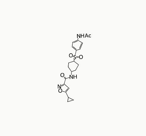 CC(=O)Nc1ccc(S(=O)(=O)C2CCC(NC(=O)c3cc(C4CC4)on3)CC2)cc1